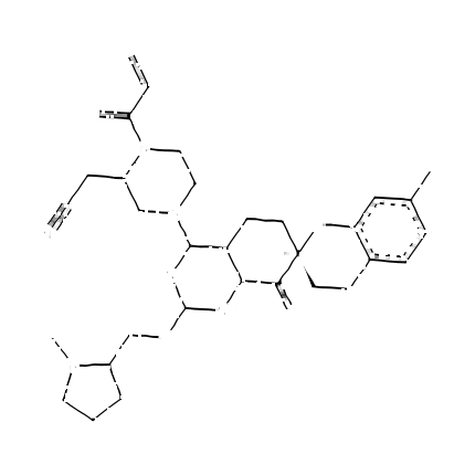 C=CC(=O)N1CCN(C2NC(OCC3CCCN3C)NC3C(=O)[C@]4(CCc5ccc(C)cc5O4)CCC32)CC1CC#N